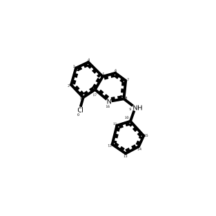 Clc1cccc2ccc(Nc3ccccc3)nc12